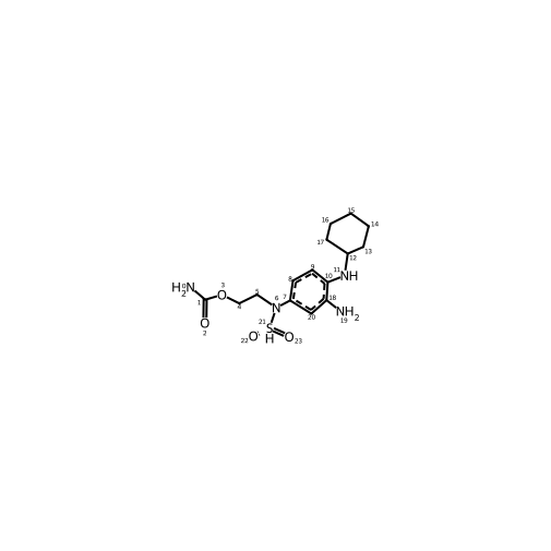 NC(=O)OCCN(c1ccc(NC2CCCCC2)c(N)c1)[SH](=O)=O